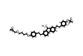 CC1c2cc(CCc3ccc(OCCCCOCC4CO4)cc3)ccc2-c2ccc(CCc3ccc(OC(F)(F)F)cc3)cc21